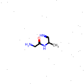 CC(C=N)NC(=O)CN